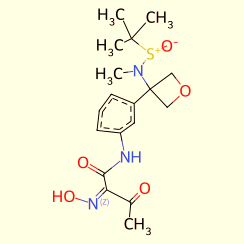 CC(=O)/C(=N/O)C(=O)Nc1cccc(C2(N(C)[S+]([O-])C(C)(C)C)COC2)c1